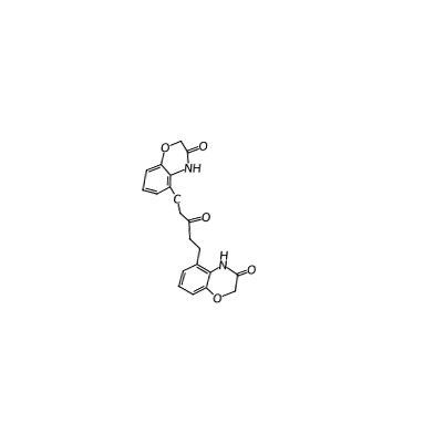 O=C(CCc1cccc2c1NC(=O)CO2)CCc1cccc2c1NC(=O)CO2